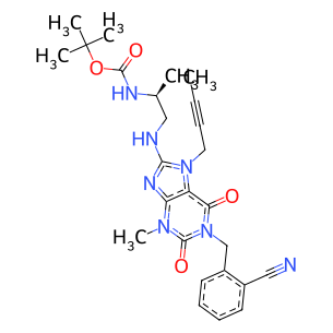 CC#CCn1c(NC[C@H](C)NC(=O)OC(C)(C)C)nc2c1c(=O)n(Cc1ccccc1C#N)c(=O)n2C